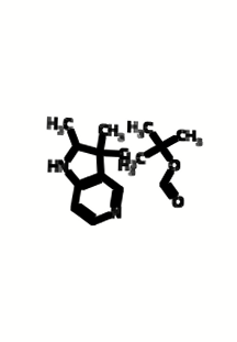 CC(C)(C)OC=O.CC1Nc2ccncc2C1(C)C